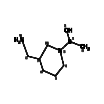 CB(O)N1CCCC(CN)C1